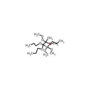 CCCOC(C)(OOC)C(OCCC)(OCCC)[Si](OC)(OC)OC